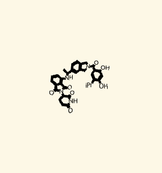 CC(C)c1cc(C(=O)N2Cc3ccc(C(C)Nc4cccc5c4C(=O)N(C4CCC(=O)NC4=O)C5=O)cc3C2)c(O)cc1O